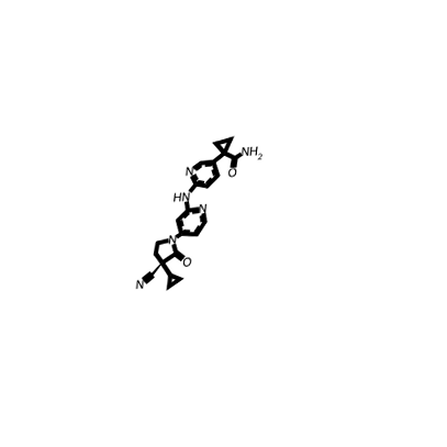 N#C[C@@]1(C2CC2)CCN(c2ccnc(Nc3ccc(C4(C(N)=O)CC4)cn3)c2)C1=O